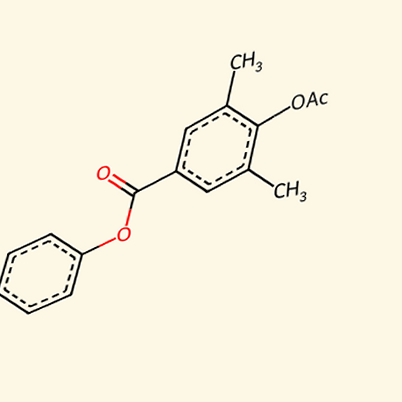 CC(=O)Oc1c(C)cc(C(=O)Oc2ccccc2)cc1C